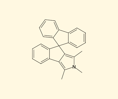 Cc1c2c(c(C)n1C)C1(c3ccccc3-c3ccccc31)c1ccccc1-2